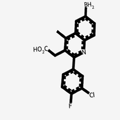 Bc1ccc2nc(-c3ccc(F)c(Cl)c3)c(CC(=O)O)c(C)c2c1